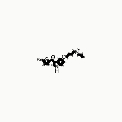 C=CCN(C)CCCCOc1ccc2c(c1)C(C(=O)c1ccc(Br)s1)CN2